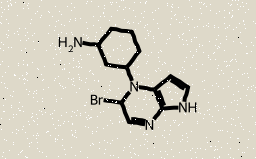 NC1CCCC(N2c3cc[nH]c3N=CC2Br)C1